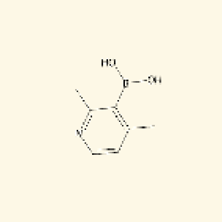 Cc1ccnc(C)c1B(O)O